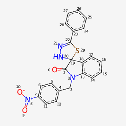 O=C1N(Cc2ccc([N+](=O)[O-])cc2)c2ccccc2C12NN=C(c1ccccc1)S2